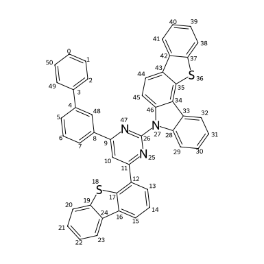 c1ccc(-c2cccc(-c3cc(-c4cccc5c4sc4ccccc45)nc(-n4c5ccccc5c5c6sc7ccccc7c6ccc54)n3)c2)cc1